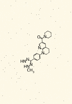 CN/N=C(\N=N)c1ccc(N2CCCc3cc(C(=O)N4CCCCC4)cnc32)cc1